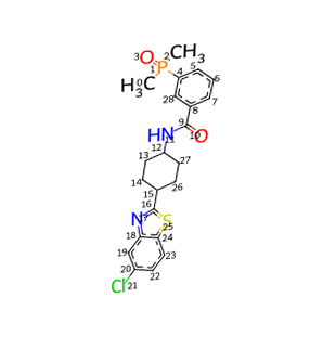 CP(C)(=O)c1cccc(C(=O)NC2CCC(c3nc4cc(Cl)ccc4s3)CC2)c1